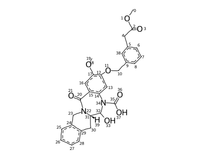 COC(=O)Cc1cccc(COc2cc3c(cc2OC)C(=O)N2Cc4ccccc4C[C@H]2C(O)N3C(=O)O)c1